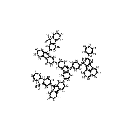 CC1(C)c2ccccc2-c2ccc(-n3c4ccccc4c4ccc(-c5ccc6c(c5)c5cc(-c7ccc8c9ccccc9n(-c9ccc%10c(c9)C(C)(C)c9ccccc9-%10)c8c7)ccc5n6-c5ccc(-c6nc(-c7ccccc7)nc7c6-c6cccc8cccc-7c68)cc5)cc43)cc21